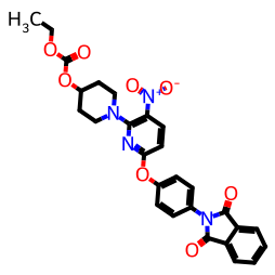 CCOC(=O)OC1CCN(c2nc(Oc3ccc(N4C(=O)c5ccccc5C4=O)cc3)ccc2[N+](=O)[O-])CC1